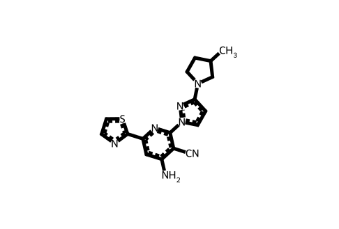 CC1CCN(c2ccn(-c3nc(-c4nccs4)cc(N)c3C#N)n2)C1